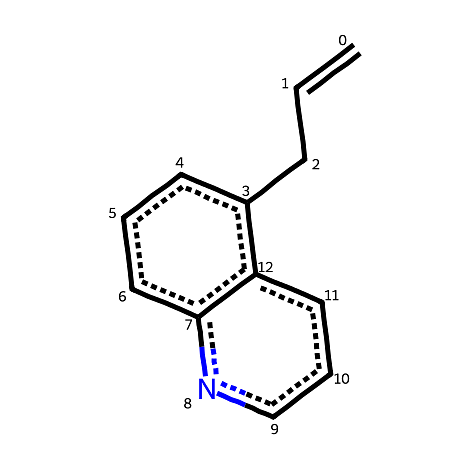 C=CCc1cccc2ncccc12